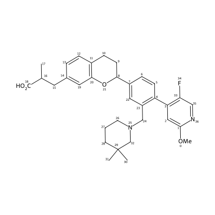 COc1cc(-c2ccc(C3CCc4ccc(CC(C)C(=O)O)cc4O3)cc2CN2CCCC(C)(C)C2)c(F)cn1